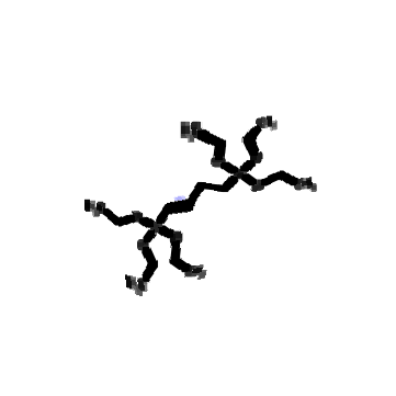 CCO[Si](/C=C/CC[Si](OCC)(OCC)OCC)(OCC)OCC